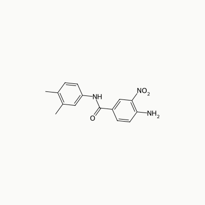 Cc1ccc(NC(=O)c2ccc(N)c([N+](=O)[O-])c2)cc1C